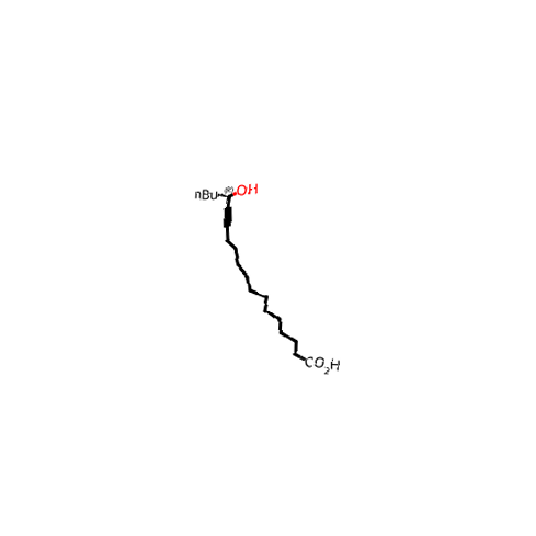 CCCC[C@@H](O)C#CCCCCCCCCCCCC(=O)O